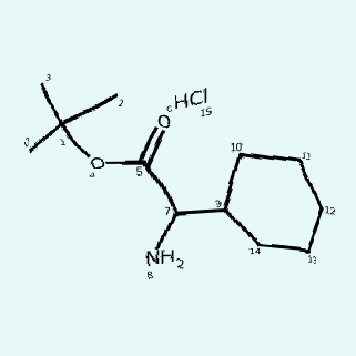 CC(C)(C)OC(=O)C(N)C1CCCCC1.Cl